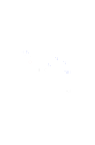 CN(c1cccc(C(N)=O)c1)c1cc(Nc2cccc(C(F)(F)F)c2)ncn1